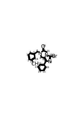 Cc1cccc(CN2Cc3c(-c4ccccc4)nc(Br)n3CC2=O)c1